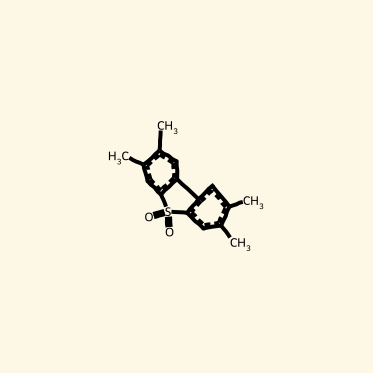 Cc1cc2c(cc1C)S(=O)(=O)c1cc(C)c(C)cc1-2